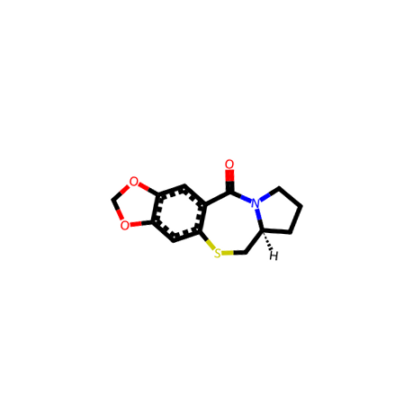 O=C1c2cc3c(cc2SC[C@@H]2CCCN12)OCO3